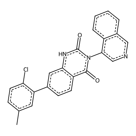 Cc1ccc(Cl)c(-c2ccc3c(=O)n(-c4cncc5ccccc45)c(=O)[nH]c3c2)c1